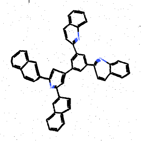 c1ccc2cc(-c3cc(-c4cc(-c5ccc6ccccc6n5)cc(-c5ccc6ccccc6n5)c4)cc(-c4ccc5ccccc5c4)n3)ccc2c1